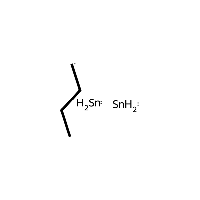 [CH2]CCC.[SnH2].[SnH2]